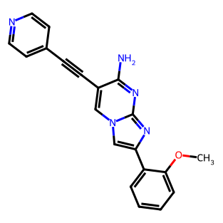 COc1ccccc1-c1cn2cc(C#Cc3ccncc3)c(N)nc2n1